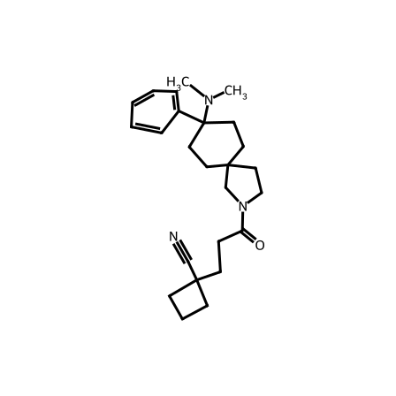 CN(C)C1(c2ccccc2)CCC2(CCN(C(=O)CCC3(C#N)CCC3)C2)CC1